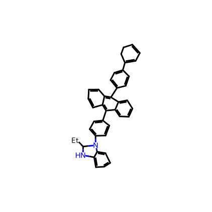 CCC1Nc2ccccc2N1c1ccc(-c2c3ccccc3c(-c3ccc(C4=CC=CCC4)cc3)c3ccccc23)cc1